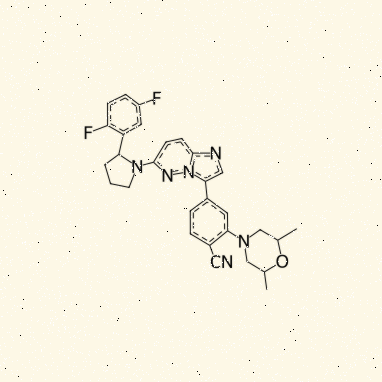 CC1CN(c2cc(-c3cnc4ccc(N5CCCC5c5cc(F)ccc5F)nn34)ccc2C#N)CC(C)O1